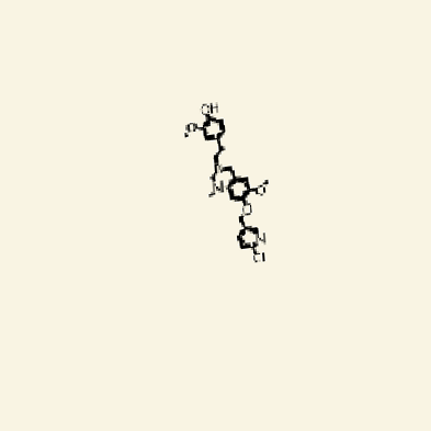 CNCN(CCc1ccc(O)c(OC)c1)Cc1ccc(OCc2ccc(Cl)nc2)c(OC)c1